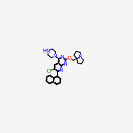 Clc1cc2c(N3CCNCC3)nc(OCC34CCCN3CCC4)nc2nc1-c1cccc2ccccc12